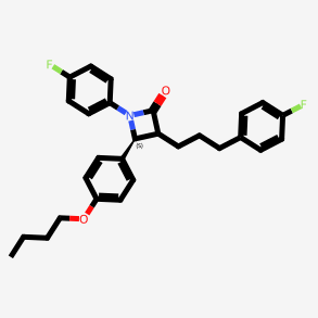 CCCCOc1ccc([C@@H]2C(CCCc3ccc(F)cc3)C(=O)N2c2ccc(F)cc2)cc1